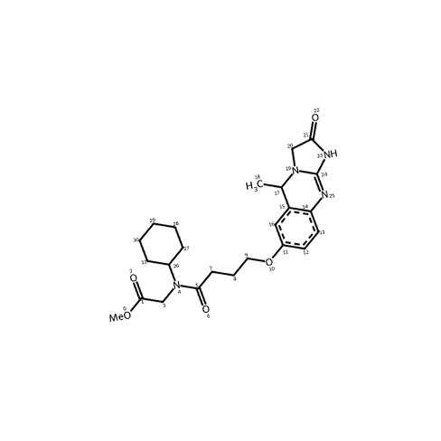 COC(=O)CN(C(=O)CCCOc1ccc2c(c1)C(C)N1CC(=O)NC1=N2)C1CCCCC1